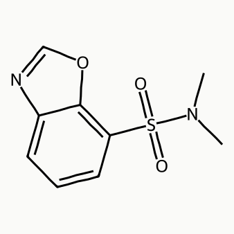 CN(C)S(=O)(=O)c1cccc2ncoc12